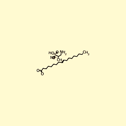 CC(CN)S(=O)(=O)O.CCCCCCCCC=CCCCCCCCC(=O)[O-].[Na+]